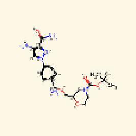 CC(C)(C)OC(=O)N1CCOC(COCc2ccc(-n3cc(N)c(C(N)=O)n3)cc2)C1.N